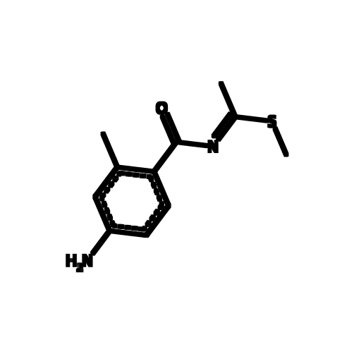 CS/C(C)=N/C(=O)c1ccc(N)cc1C